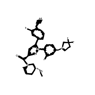 CN[C@@H]1CCCN(C(=O)c2cc(-c3ccc(C#N)c(F)c3)n(-c3ccc(N4CCC(F)(F)C4)cc3F)n2)C1